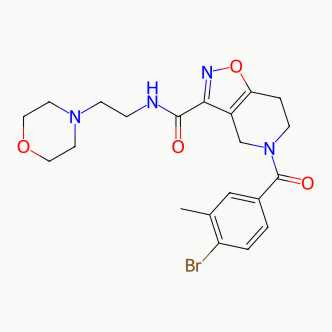 Cc1cc(C(=O)N2CCc3onc(C(=O)NCCN4CCOCC4)c3C2)ccc1Br